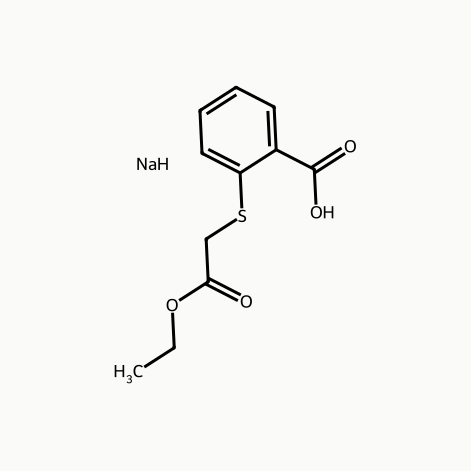 CCOC(=O)CSc1ccccc1C(=O)O.[NaH]